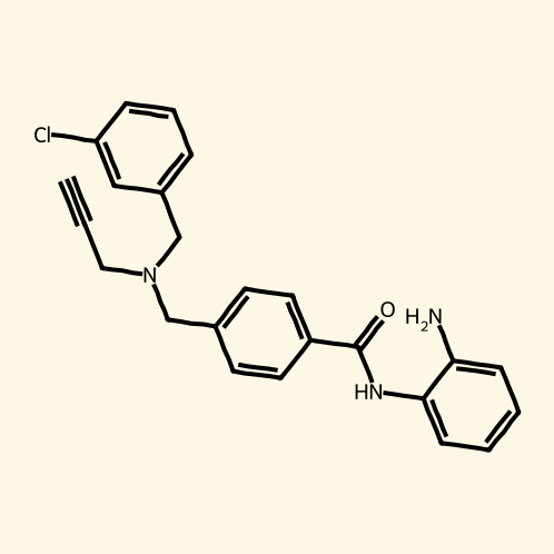 C#CCN(Cc1ccc(C(=O)Nc2ccccc2N)cc1)Cc1cccc(Cl)c1